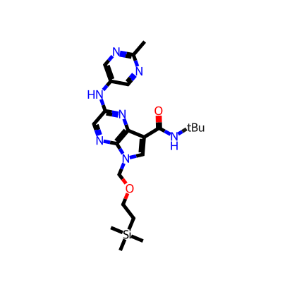 Cc1ncc(Nc2cnc3c(n2)c(C(=O)NC(C)(C)C)cn3COCC[Si](C)(C)C)cn1